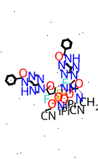 C=NC[C@H]1O[C@@H](n2cnc3c(NC(=O)c4ccccc4)ncnc32)[C@H](F)[C@@H]1OP(=S)(NC[C@H]1O[C@@H](n2cnc3c(NC(=O)c4ccccc4)ncnc32)[C@H](F)[C@@H]1OP(OCCC#N)N(C(C)C)C(C)C)OCCC#N